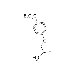 CCOC(=O)c1ccc(OCC(C)F)cc1